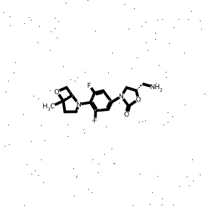 CC12CCN(c3c(F)cc(N4C[C@H](CN)OC4=O)cc3F)C1CO2